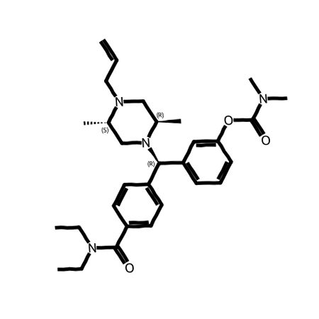 C=CCN1C[C@@H](C)N([C@H](c2ccc(C(=O)N(CC)CC)cc2)c2cccc(OC(=O)N(C)C)c2)C[C@@H]1C